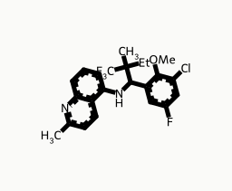 CCC(C)(C(Nc1cccc2nc(C)ccc12)c1cc(F)cc(Cl)c1OC)C(F)(F)F